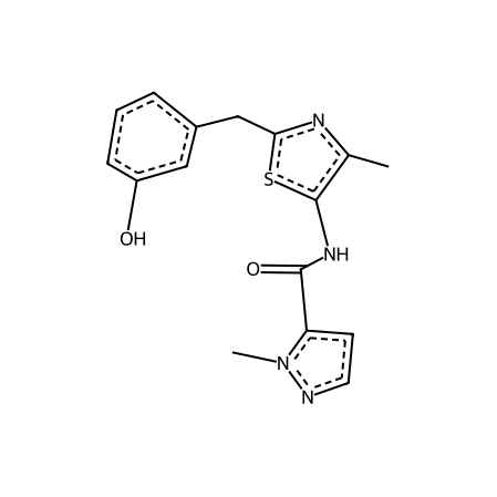 Cc1nc(Cc2cccc(O)c2)sc1NC(=O)c1ccnn1C